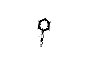 [O]=[Ti][c]1ccccc1